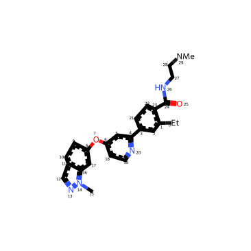 CCc1cc(-c2cc(Oc3ccc4cnn(C)c4c3)ccn2)ccc1C(=O)NCCNC